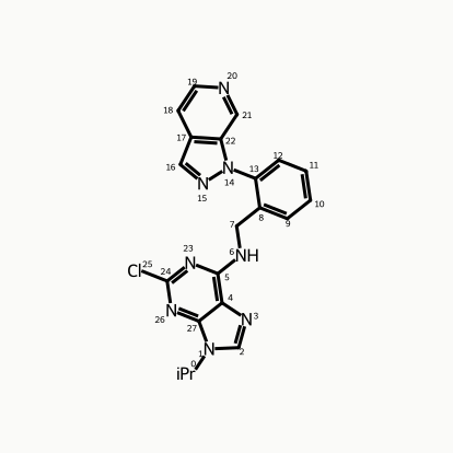 CC(C)n1cnc2c(NCc3ccccc3-n3ncc4ccncc43)nc(Cl)nc21